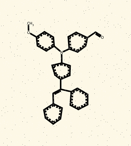 COc1ccc(N(c2ccc(C=O)cc2)c2ccc(C(=Cc3ccccc3)c3ccccc3)cc2)cc1